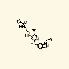 O=C(NCCCNc1nc(Nc2ccc3cnn(CC4CC4)c3c2)ncc1C1CC1)C1CCC1